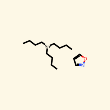 CCC[CH2][Sn]([CH2]CCC)[CH2]CCC.c1cnoc1